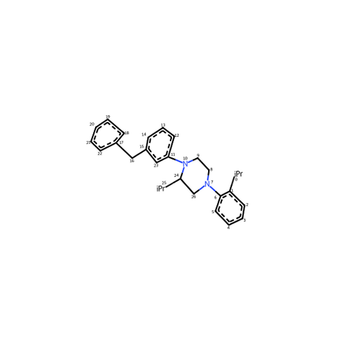 CC(C)c1ccccc1N1CCN(c2cccc(Cc3ccccc3)c2)C(C(C)C)C1